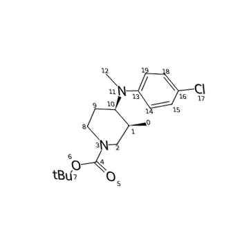 C[C@H]1CN(C(=O)OC(C)(C)C)CC[C@H]1N(C)c1ccc(Cl)cc1